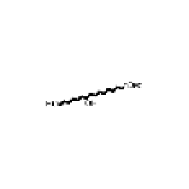 CCCCCCCCCCCCCCCCCCC(O)CCCCCCO